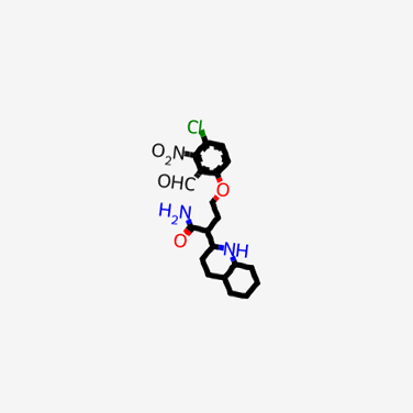 NC(=O)C(CCOc1ccc(Cl)c([N+](=O)[O-])c1C=O)C1CCC2CCCCC2N1